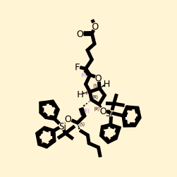 CCCCC[C@@H](/C=C/[C@@H]1[C@H]2C/C(=C(\F)CCCC(=O)OC)O[C@H]2C[C@H]1O[Si](c1ccccc1)(c1ccccc1)C(C)(C)C)O[Si](c1ccccc1)(c1ccccc1)C(C)(C)C